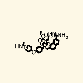 CCOC(=O)N(CC(=O)O)S(=O)(=O)N(Cc1ccc2ccc(C(=N)N)cc2c1)c1ccc(OC2CCN(C(C)=N)CC2)cc1